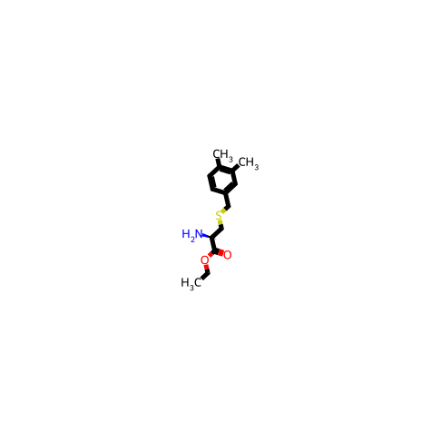 CCOC(=O)[C@@H](N)CSCc1ccc(C)c(C)c1